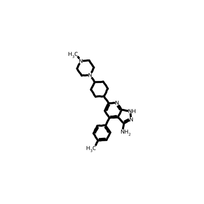 Cc1ccc(-c2cc(C3CCC(N4CCN(C)CC4)CC3)nc3[nH]nc(N)c23)cc1